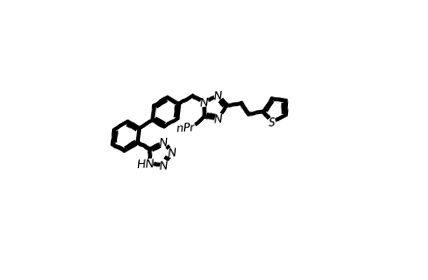 CCCc1nc(CCc2cccs2)nn1Cc1ccc(-c2ccccc2-c2nnn[nH]2)cc1